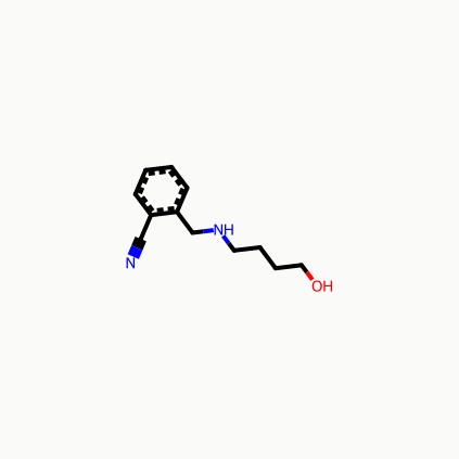 N#Cc1ccccc1CNCCCCO